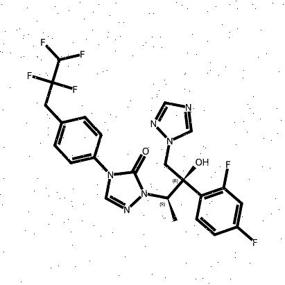 C[C@@H](n1ncn(-c2ccc(CC(F)(F)C(F)F)cc2)c1=O)[C@](O)(Cn1cncn1)c1ccc(F)cc1F